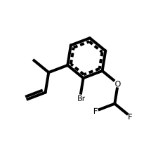 C=C[C](C)c1cccc(OC(F)F)c1Br